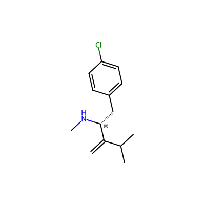 C=C(C(C)C)[C@@H](Cc1ccc(Cl)cc1)NC